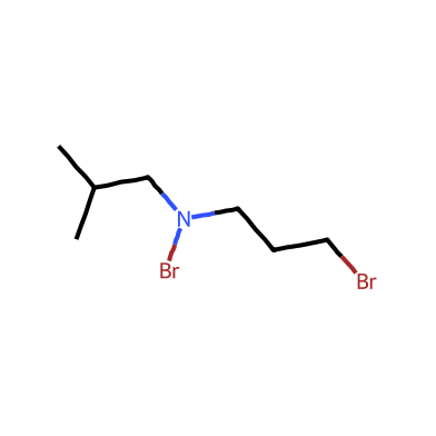 CC(C)CN(Br)CCCBr